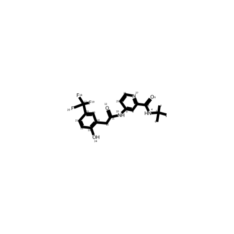 CC(C)(C)NC(=O)c1cc(NC(=O)Cc2cc(C(F)(F)F)ccc2O)ccn1